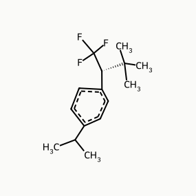 CC(C)c1ccc([C@@H](C(C)(C)C)C(F)(F)F)cc1